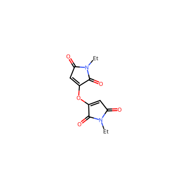 CCN1C(=O)C=C(OC2=CC(=O)N(CC)C2=O)C1=O